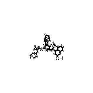 C#Cc1cccc2cc(O)cc(-c3cnc4c(N5CC6CCC(C5)N6)nc(OCC5(CN6CCOCC6)CC5)nc4c3)c12